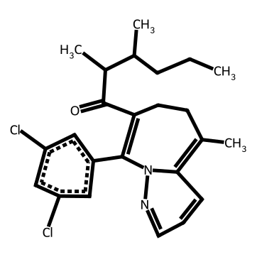 CCCC(C)C(C)C(=O)C1=C(c2cc(Cl)cc(Cl)c2)N2N=CC=CC2=C(C)CC1